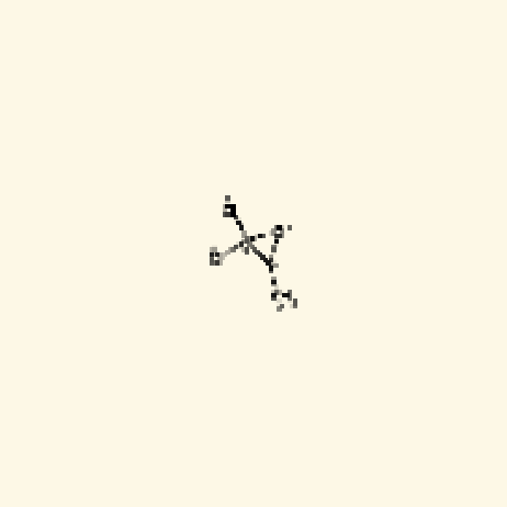 CC1OC1(Cl)Cl